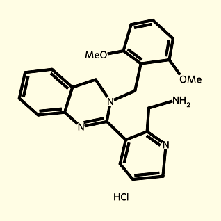 COc1cccc(OC)c1CN1Cc2ccccc2N=C1c1cccnc1CN.Cl